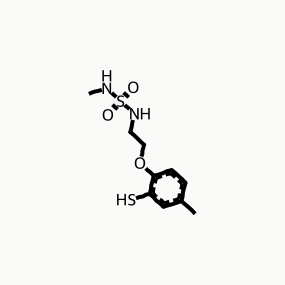 CNS(=O)(=O)NCCOc1ccc(C)cc1S